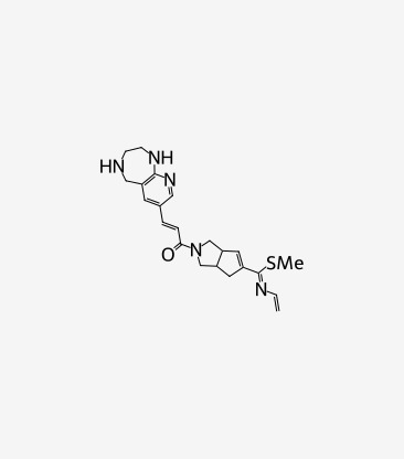 C=C/N=C(\SC)C1=CC2CN(C(=O)/C=C/c3cnc4c(c3)CNCCN4)CC2C1